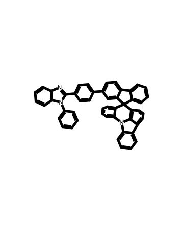 C1=CC2N=C(c3ccc(-c4ccc5c(c4)C4(c6ccccc6-5)c5ccccc5-n5c6ccccc6c6cccc4c65)cc3)N(c3ccccc3)C2C=C1